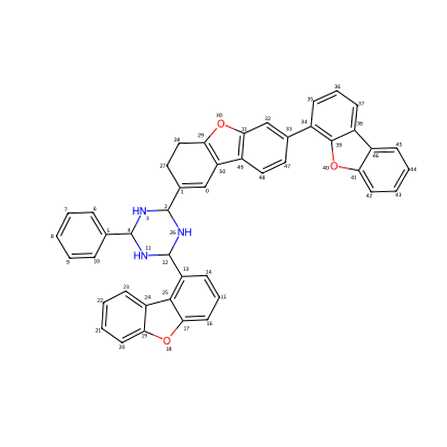 C1=C(C2NC(c3ccccc3)NC(c3cccc4oc5ccccc5c34)N2)CCc2oc3cc(-c4cccc5c4oc4ccccc45)ccc3c21